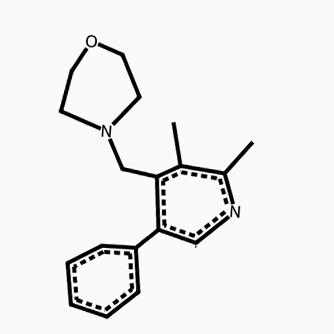 Cc1n[c]c(-c2ccccc2)c(CN2CCOCC2)c1C